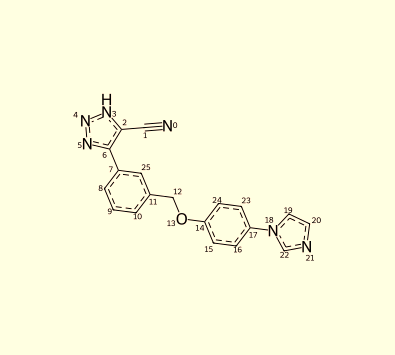 N#Cc1[nH]nnc1-c1cccc(COc2ccc(-n3ccnc3)cc2)c1